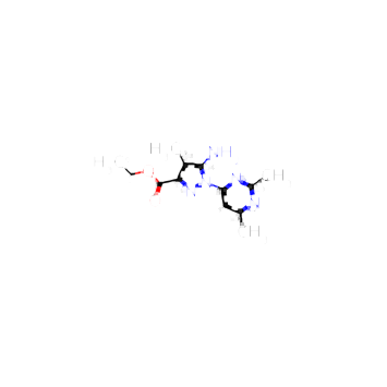 CCOC(=O)c1nn(-c2cc(C)nc(C)n2)c(N)c1C